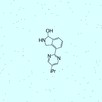 CC(C)c1cnc(-c2cccc3c2CNC3O)nc1